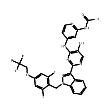 CC(=O)Nc1cc(Nc2nc(-c3nn(Cc4c(F)cc(OCC(F)(F)F)cc4F)c4ccccc34)ncc2O)ccn1